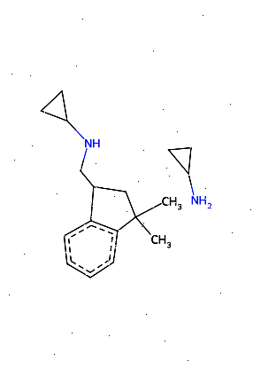 CC1(C)CC(CNC2CC2)c2ccccc21.NC1CC1